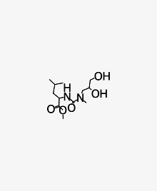 COC(=O)C(CC(C)C)NC(=O)N(C)CC(O)CO